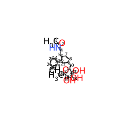 CC(=O)NCCc1ccc(C[C@@H]2O[C@@H](C)[C@H](O)[C@@H](O)[C@H]2O)cc1-c1cccc(C)c1